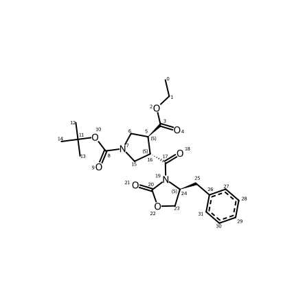 CCOC(=O)[C@@H]1CN(C(=O)OC(C)(C)C)C[C@H]1C(=O)N1C(=O)OC[C@@H]1Cc1ccccc1